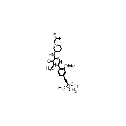 COc1cc(C#C[Si](C)(C)C)ccc1-c1nnc(N[C@@H]2CCCN(CC(F)F)C2)c(=O)n1C